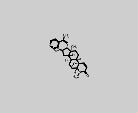 C/C(=C/[C@H]1C(C)C[C@H]2[C@@H]3CC[C@H]4N(C)C(=O)C=C[C@]4(C)[C@H]3CC[C@]12C)c1ccncc1